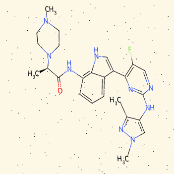 Cc1nn(C)cc1Nc1ncc(F)c(-c2c[nH]c3c(NC(=O)[C@@H](C)N4CCN(C)CC4)cccc23)n1